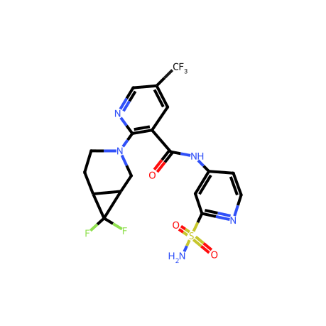 NS(=O)(=O)c1cc(NC(=O)c2cc(C(F)(F)F)cnc2N2CCC3C(C2)C3(F)F)ccn1